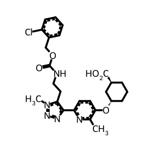 Cc1nc(-c2nnn(C)c2CCNC(=O)OCc2ccccc2Cl)ccc1O[C@H]1CCC[C@H](C(=O)O)C1